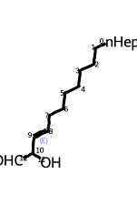 CCCCCCCCCCCCCC/C=C/C(O)[C]=O